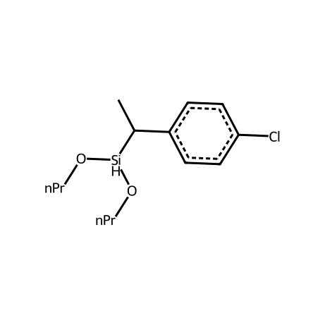 CCCO[SiH](OCCC)C(C)c1ccc(Cl)cc1